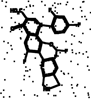 O=C(O)c1cn(-c2ccc(F)cc2F)c2c(OC(F)F)c(-c3ccc4c(c3)CNC4)c(F)cc2c1=O